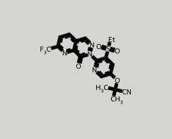 CCS(=O)(=O)c1cc(OC(C)(C)C#N)cnc1-n1ncc2ccc(C(F)(F)F)nc2c1=O